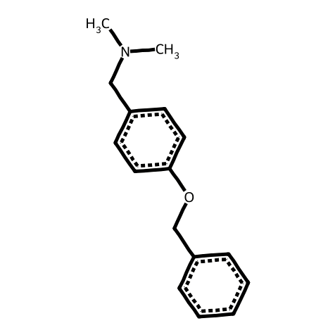 CN(C)Cc1ccc(OCc2ccccc2)cc1